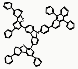 C1=C(c2ccccc2)CCc2sc3c(-c4ccc5c(c4)c4cc(-c6cc(-c7ccccc7)cc7c6sc6ccc(-c8ccccc8)cc67)ccc4n5-c4ccc(-c5ccc6c(-c7ccccc7)c7ccccc7c(-c7ccccc7)c6c5)cc4)cc(-c4ccccc4)cc3c21